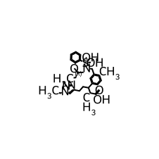 CC[C@@H]1CN(Cc2cc(C(CCc3cn(CC)nn3)C(C)C(=O)O)ccc2C)S(O)(O)c2ccccc2O1